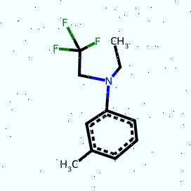 CCN(CC(F)(F)F)c1cc[c]c(C)c1